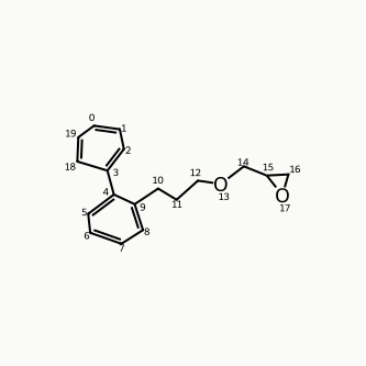 c1ccc(-c2ccccc2CCCOCC2CO2)cc1